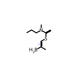 B/C(C)=C/SC(=C)N(C)CCC